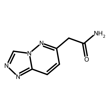 NC(=O)Cc1ccc2nncn2n1